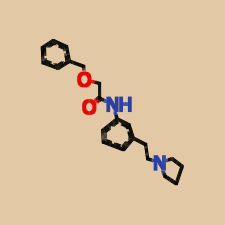 O=C(COCc1ccccc1)Nc1cccc(CCN2CCCC2)c1